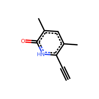 C#Cc1[nH]c(=O)c(C)cc1C